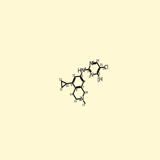 [2H]c1nc(Nc2cc3c(c(C4CC4)c2)CCN(C)C3)ncc1Cl